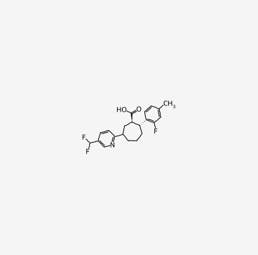 Cc1ccc([C@@H]2CCCC(c3ccc(C(F)F)cn3)C[C@H]2C(=O)O)c(F)c1